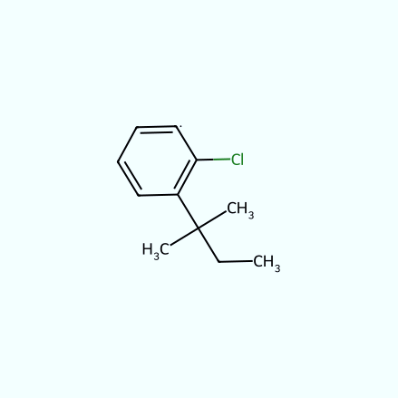 CCC(C)(C)c1ccc[c]c1Cl